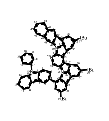 CC(C)(C)c1cc(-c2ccc3c(c2)c2ccccc2n3-c2ccccc2)c2c(c1)c1cc(C(C)(C)C)cc3c4c5c6cc(C(C)(C)C)cc7c8cc9ccccc9cc8n(c5ncc4n2c13)c76